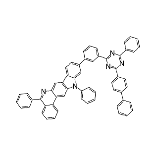 c1ccc(-c2ccc(-c3nc(-c4ccccc4)nc(-c4cccc(-c5ccc6c7cc8nc(-c9ccccc9)c9ccccc9c8cc7n(-c7ccccc7)c6c5)c4)n3)cc2)cc1